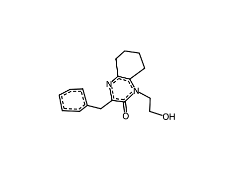 O=c1c(Cc2ccccc2)nc2c(n1CCO)CCCC2